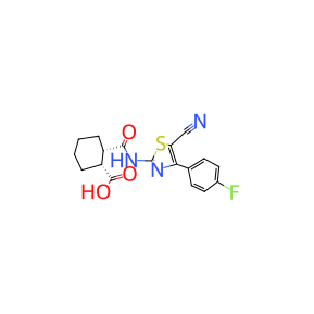 N#Cc1sc(NC(=O)[C@H]2CCCC[C@H]2C(=O)O)nc1-c1ccc(F)cc1